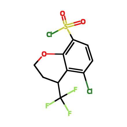 O=S(=O)(Cl)c1ccc(Cl)c2c1OCCC2C(F)(F)F